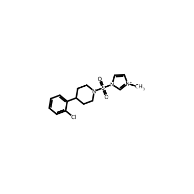 C[n+]1ccn(S(=O)(=O)N2CCC(c3ccccc3Cl)CC2)c1